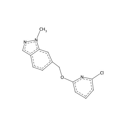 Cn1ncc2ccc(COc3cccc(Cl)n3)cc21